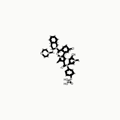 Cc1c(C(=O)N(c2ccc(OP(=O)(O)O)cc2)c2cc(C#N)n(C)c2)cc(-c2cc(Cl)ccc2C(=O)N2Cc3ccccc3C[C@H]2CN2CCOCC2)n1C